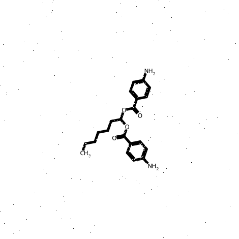 CCCCCCC(OC(=O)c1ccc(N)cc1)OC(=O)c1ccc(N)cc1